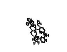 Cc1ccc(Nc2cc(OC(F)(F)F)ccn2)nc1C(=O)N1CC(F)(F)CCC1CNS(C)(=O)=O